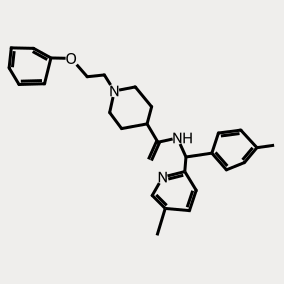 C=C(NC(c1ccc(C)cc1)c1ccc(C)cn1)C1CCN(CCOc2ccccc2)CC1